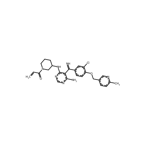 C=CC(=O)N1CCCC(Nc2ncnc(N)c2C(=N)c2ccc(OCc3ccc(C)nc3)c(Cl)c2)C1